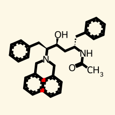 CC(=O)N[C@@H](Cc1ccccc1)C[C@H](O)[C@H](Cc1ccccc1)N(Cc1ccccc1)Cc1ccccc1